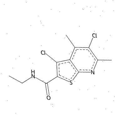 CCNC(=O)c1sc2nc(C)c(Cl)c(C)c2c1Cl